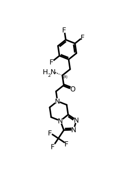 N[C@H](Cc1cc(F)c(F)cc1F)C(=O)CN1CCn2c(nnc2C(F)(F)F)C1